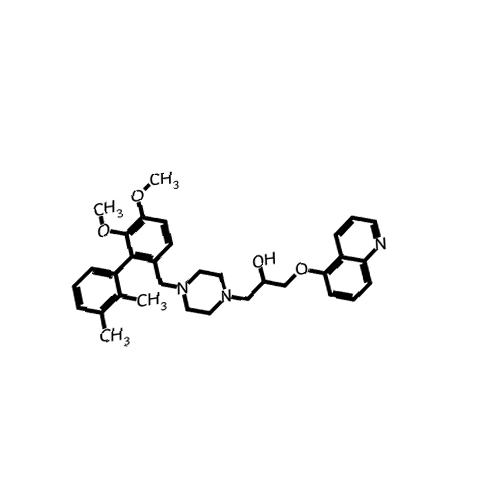 COc1ccc(CN2CCN(CC(O)COc3cccc4ncccc34)CC2)c(-c2cccc(C)c2C)c1OC